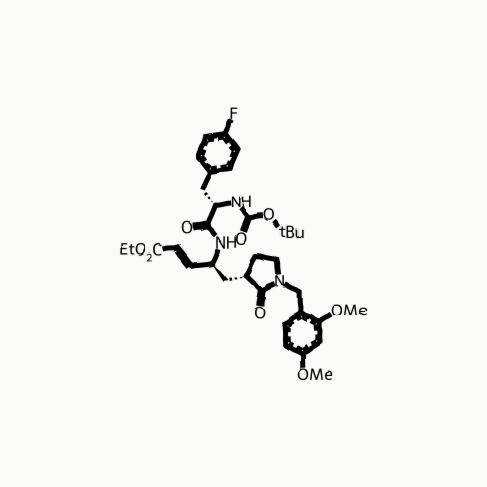 CCOC(=O)/C=C/[C@H](C[C@@H]1CCN(Cc2ccc(OC)cc2OC)C1=O)NC(=O)[C@H](Cc1ccc(F)cc1)NC(=O)OC(C)(C)C